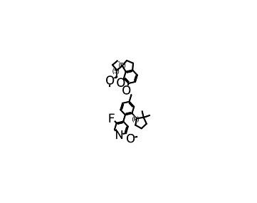 COC(=O)[C@H]1CC[C@@]12CCc1ccc(OCc3ccc(-c4cc(OC)ncc4F)c([C@@H]4CCCC4(C)C)c3)cc12